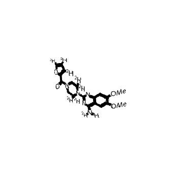 [2H]c1oc(C(=O)N2CC([2H])([2H])N(c3nc(N([2H])[2H])c4cc(OC)c(OC)cc4n3)C([2H])([2H])C2)c([2H])c1[2H]